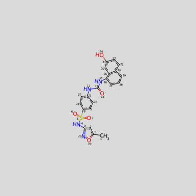 Cc1cc(NS(=O)(=O)c2ccc(NC(=O)Nc3cccc4ccc(O)cc34)cc2)no1